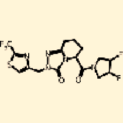 O=C(C1CCCc2nn(Cc3csc(C(F)(F)F)n3)c(=O)n21)N1CC(F)C(F)C1